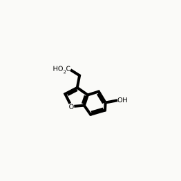 O=C(O)Cc1coc2ccc(O)cc12